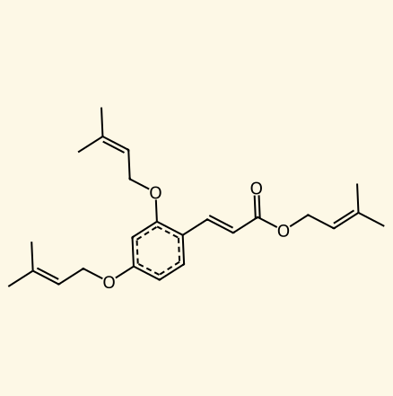 CC(C)=CCOC(=O)/C=C/c1ccc(OCC=C(C)C)cc1OCC=C(C)C